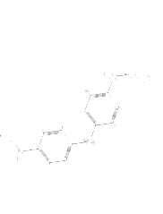 CCOC(=O)Nc1ccc(Nc2ccc(NC(=O)OCC)cc2)cc1